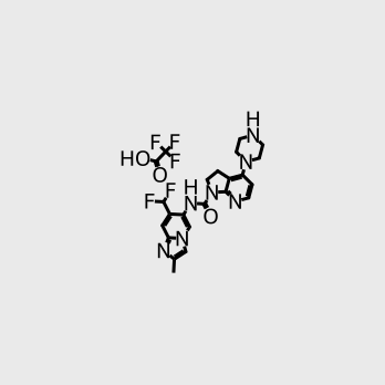 Cc1cn2cc(NC(=O)N3CCc4c(N5CCNCC5)ccnc43)c(C(F)F)cc2n1.O=C(O)C(F)(F)F